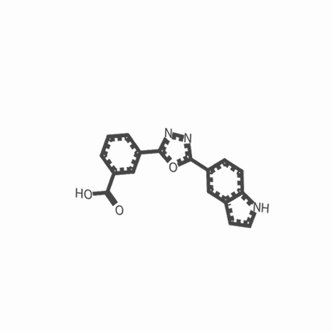 O=C(O)c1cccc(-c2nnc(-c3ccc4[nH]ccc4c3)o2)c1